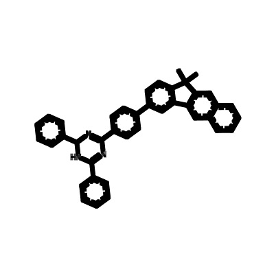 CC1(C)c2ccc(-c3ccc(C4=NC(c5ccccc5)NC(c5ccccc5)=N4)cc3)cc2-c2cc3ccccc3cc21